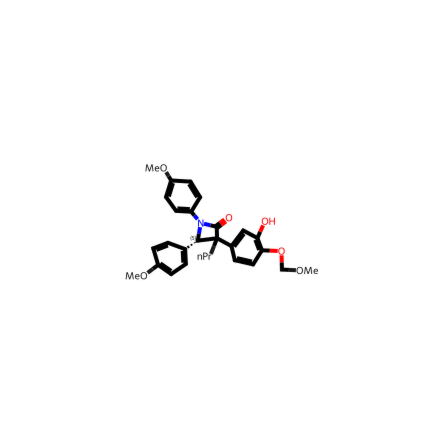 CCCC1(c2ccc(OCOC)c(O)c2)C(=O)N(c2ccc(OC)cc2)[C@H]1c1ccc(OC)cc1